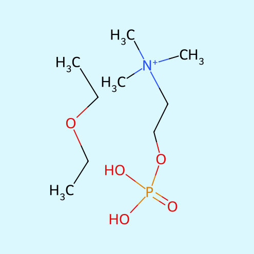 CCOCC.C[N+](C)(C)CCOP(=O)(O)O